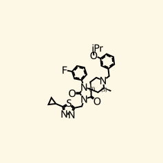 CC(C)Oc1cccc(CN2CC[C@@]3(C[C@@H]2C)C(=O)N(Cc2nnc(C4CC4)s2)C(=O)N3c2cccc(F)c2)c1